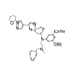 COc1cc(OC)cc(N(CCN(C)Cc2ccccc2)c2ccc3ncc(-c4cnn(C5CCCCO5)c4)nc3c2)c1